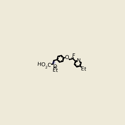 CCO/C(=C\c1ccc(OC[C@@H](F)c2ccc(CC)cn2)cc1)C(=O)O